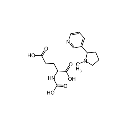 CN1CCCC1c1cccnc1.O=C(O)CCC(NC(=O)O)C(=O)O